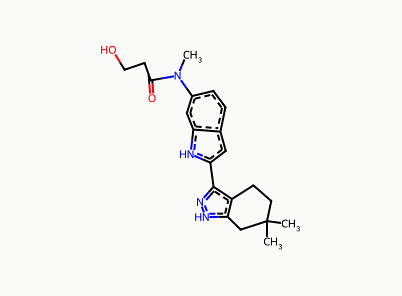 CN(C(=O)CCO)c1ccc2cc(-c3n[nH]c4c3CCC(C)(C)C4)[nH]c2c1